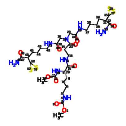 COC(=O)NCCCC[C@H](NC(=O)OC)C(=O)NCCC(=O)N(CC(=O)NCCCCC(C(N)=O)C1SS1)CC(=O)NCCCCC(C(N)=O)C1SS1